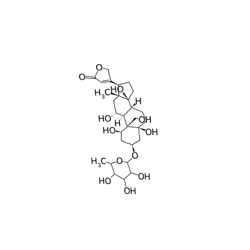 CC1OC(O[C@H]2C[C@@H](O)[C@]3(CO)[C@H]4[C@H](O)C[C@]5(C)[C@@H](C6=CC(=O)OC6)CC[C@]5(O)[C@@H]4CC[C@]3(O)C2)C(O)C(O)C1O